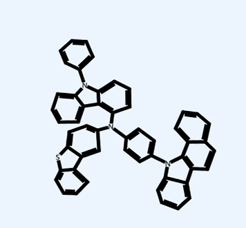 c1ccc(-n2c3ccccc3c3c(N(c4ccc(-n5c6ccccc6c6ccc7ccccc7c65)cc4)c4ccc5sc6ccccc6c5c4)cccc32)cc1